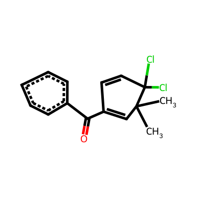 CC1(C)C=C(C(=O)c2ccccc2)C=CC1(Cl)Cl